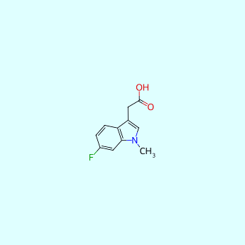 Cn1cc(CC(=O)O)c2ccc(F)cc21